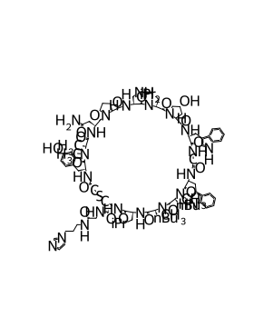 CCCC[C@H]1C(=O)N(C)[C@@H](CCCC)C(=O)N[C@@H](CC(C)C)C(=O)N[C@H](C(=O)NCC(=O)NCCCn2ccnc2)CSCC(=O)N[C@@H](Cc2ccc(O)cc2)C(=O)N(C)[C@@H](C)C(=O)N[C@@H](CC(N)=O)C(=O)N2CCC[C@H]2C(=O)N[C@@H](CN)C(=O)N[C@@H](CC(C)C)C(=O)N2C[C@H](O)C[C@H]2C(=O)N[C@@H](Cc2c[nH]c3ccccc23)C(=O)NCC(=O)NC(Cc2c[nH]c3ccccc23)C(=O)N1C